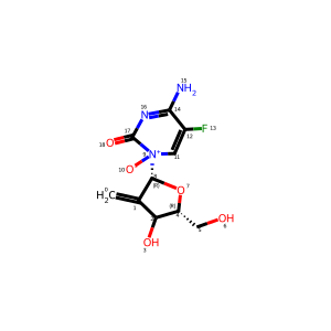 C=C1C(O)[C@@H](CO)O[C@H]1[N+]1([O-])C=C(F)C(N)=NC1=O